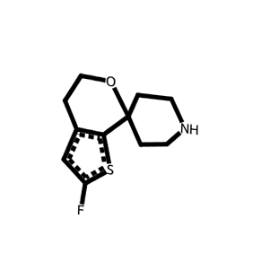 Fc1cc2c(s1)C1(CCNCC1)OCC2